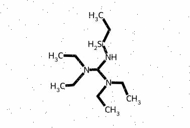 CC[SiH2]NC(N(CC)CC)N(CC)CC